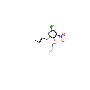 C/C=C/Cc1cc(Br)cc([N+](=O)[O-])c1OCCC